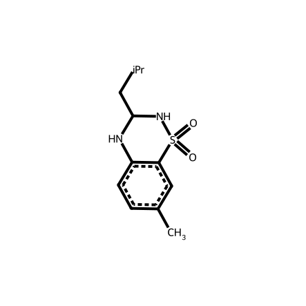 Cc1ccc2c(c1)S(=O)(=O)NC(CC(C)C)N2